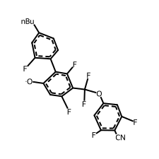 CCCCc1ccc(-c2c([O])cc(F)c(C(F)(F)Oc3cc(F)c(C#N)c(F)c3)c2F)c(F)c1